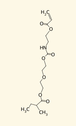 C=CC(=O)OCCNC(=O)OCCOCCOC(=O)C(C)CC